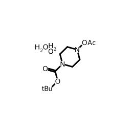 CC(=O)ON1CCN(C(=O)OC(C)(C)C)CC1.O.O